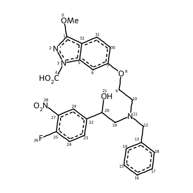 COc1nn(C(=O)O)c2cc(OCCN(Cc3ccccc3)CC(O)c3ccc(F)c([N+](=O)[O-])c3)ccc12